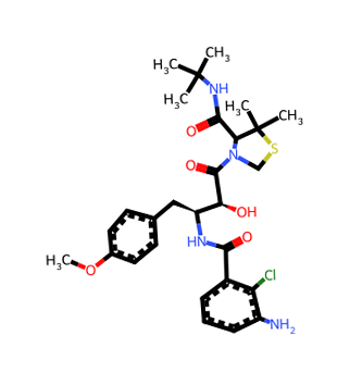 COc1ccc(C[C@H](NC(=O)c2cccc(N)c2Cl)[C@H](O)C(=O)N2CSC(C)(C)C2C(=O)NC(C)(C)C)cc1